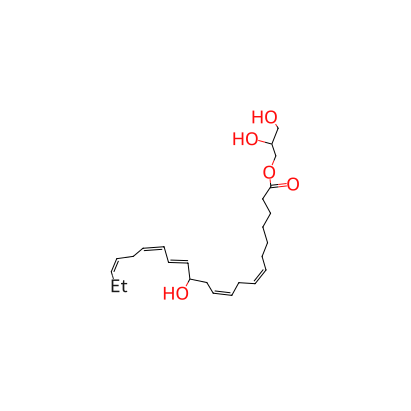 CC/C=C\C/C=C\C=C\C(O)C/C=C\C/C=C\CCCCCC(=O)OCC(O)CO